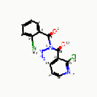 NN(C(=O)c1ccccc1Br)C(=O)c1cccnc1Cl